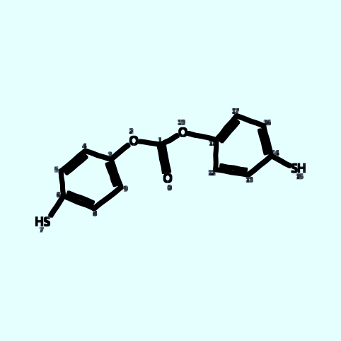 O=C(Oc1ccc(S)cc1)Oc1ccc(S)cc1